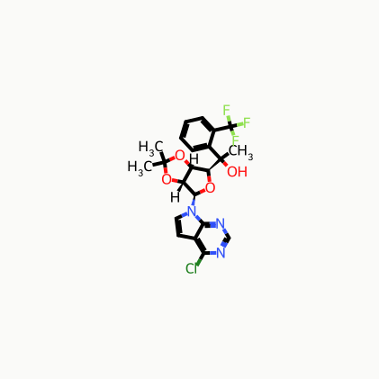 CC1(C)O[C@@H]2[C@H](O1)[C@@H](C(C)(O)c1ccccc1C(F)(F)F)O[C@H]2n1ccc2c(Cl)ncnc21